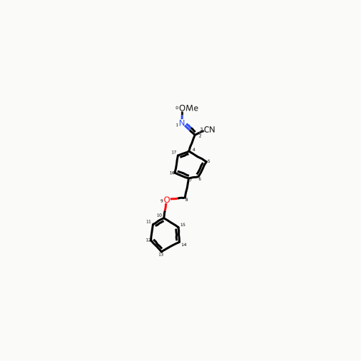 CON=C(C#N)c1ccc(COc2ccccc2)cc1